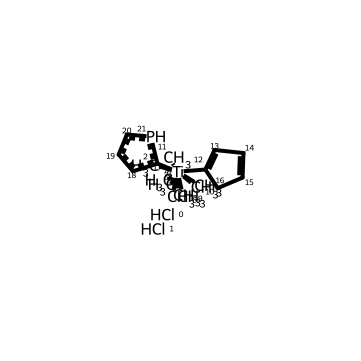 Cl.Cl.[CH3][Ti]([CH3])([CH3])([CH3])([CH3])([CH3])([CH3])([CH3])([CH3])([C]1=CC=CC1)[c]1ccc[pH]1